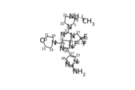 CC[C@@H]1CN(c2nc3c(N4CCOCC4)nc(-c4cnc(N)nc4)nc3n2CC(F)(F)F)CCN1